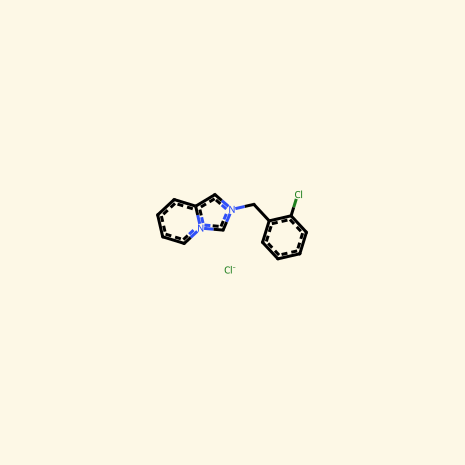 Clc1ccccc1Cn1cc2cccc[n+]2c1.[Cl-]